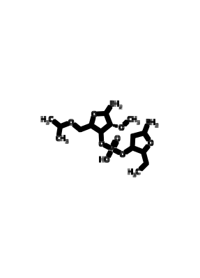 BC1CC(OP(=O)(O)OC2C(COC(C)C)OC(B)[C@@H]2OC)C(CC)O1